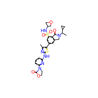 Cc1nc(Nc2cccc(N3CCOC3=O)n2)sc1-c1cc2c(c(S(=O)(=O)NC3COC3)c1)C(=O)N(C(C)C1CC1)C2